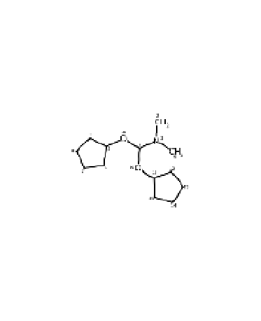 CN(C)C(OC1CCCC1)OC1CCCC1